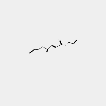 C=CCNC(=O)/C=C/C(=O)NCC=C